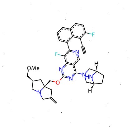 C#Cc1c(F)ccc2cccc(-c3ncc4c(N5C[C@H]6CC[C@@H](C5)N6)nc(OC[C@@]56CC(=C)CN5C[C@@H](COC)C6)nc4c3F)c12